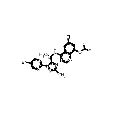 Cc1nc([C@H](C)Nc2ncnc3c(OC(F)F)cc(Cl)cc23)n(-c2ncc(Br)cn2)n1